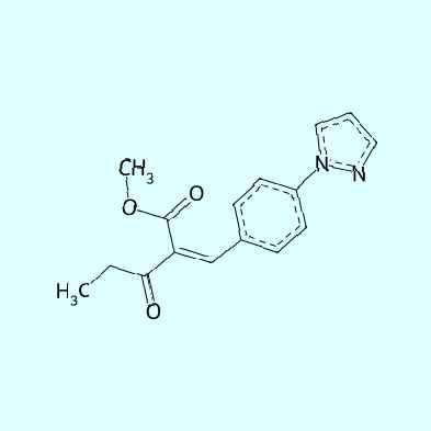 CCC(=O)C(=Cc1ccc(-n2cccn2)cc1)C(=O)OC